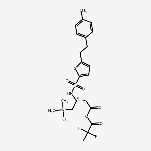 Cc1ccc(CCc2ccc(S(=O)(=O)N[C@H](CC(=O)OC(=O)C(F)(F)F)C[N+](C)(C)C)s2)cc1